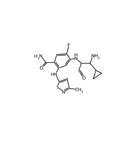 Cc1cc(Nc2cc(NC(C=O)C(N)C3CC3)c(F)cc2C(N)=O)sn1